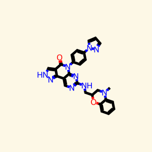 CN1CC(CNc2ncc3c4n[nH]cc4c(=O)n(-c4ccc(-n5cccn5)cc4)c3n2)Oc2ccccc21